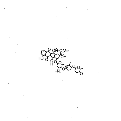 CCC1(O)CC(OC2CC(N(C)C)C(OC3CCC(OC4CCC(=O)C(C)O4)C(C)O3)C(C)O2)c2c(O)c3c(c(O)c2C1C(=O)OC)C(=O)c1cccc(O)c1C3=O